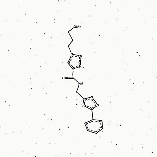 COCCCn1cc(C(=O)NCc2nnc(-c3ccccc3)s2)nn1